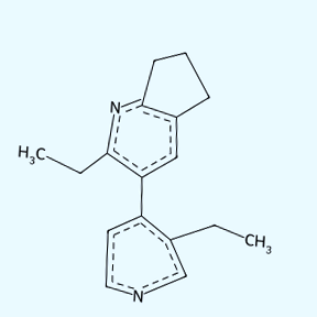 CCc1cnccc1-c1cc2c(nc1CC)CCC2